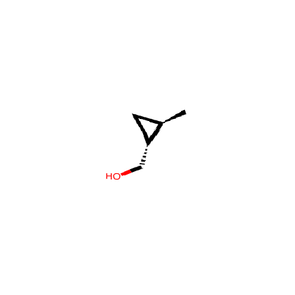 C[C@@H]1C[C@H]1CO